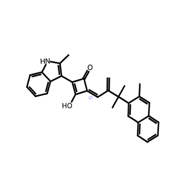 C=C(/C=C1\C(=O)C(c2c(C)[nH]c3ccccc23)=C1O)C(C)(C)c1cc2ccccc2cc1C